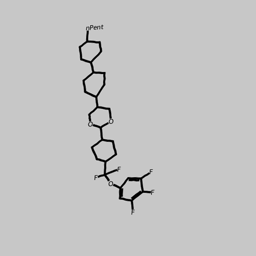 CCCCCC1CCC(C2CCC(C3COC(C4CCC(C(F)(F)Oc5cc(F)c(F)c(F)c5)CC4)OC3)CC2)CC1